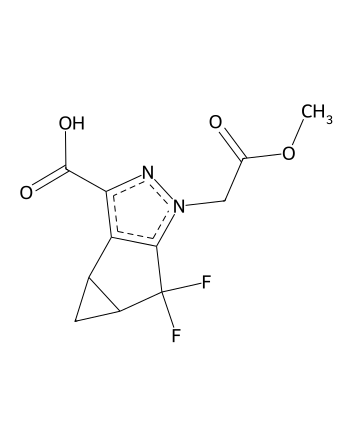 COC(=O)Cn1nc(C(=O)O)c2c1C(F)(F)C1CC21